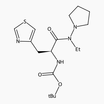 CCN(C(=O)[C@H](Cc1cscn1)NC(=O)OC(C)(C)C)N1CCCC1